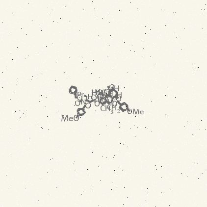 COc1ccc(C2O[C@H]3C[C@H]4OC[C@@]4(C)[C@H]4[C@H](C)[C@]5(C(C)(C)O)C[C@H](OC(=O)C6OC(c7ccc(OC)cc7)N(C(=O)OCc7ccccc7)[C@H]6CC(C)C)C(C)=C5[C@H](C)[C@H](O2)[C@]34C)cc1